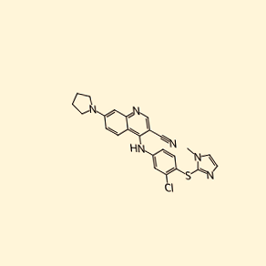 Cn1ccnc1Sc1ccc(Nc2c(C#N)cnc3cc(N4CCCC4)ccc23)cc1Cl